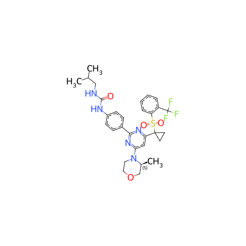 CC(C)CNC(=O)Nc1ccc(-c2nc(N3CCOC[C@@H]3C)cc(C3(S(=O)(=O)c4ccccc4C(F)(F)F)CC3)n2)cc1